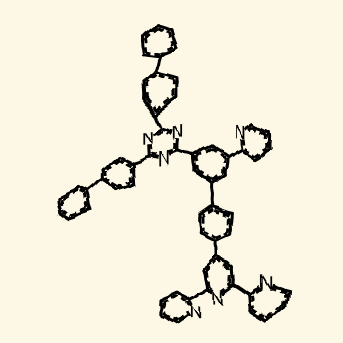 c1ccc(-c2ccc(-c3nc(-c4ccc(-c5ccccc5)cc4)nc(-c4cc(-c5ccc(-c6cc(-c7ccccn7)nc(-c7ccccn7)c6)cc5)cc(-c5ccccn5)c4)n3)cc2)cc1